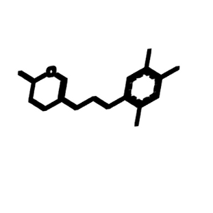 Cc1cc(C)c(CCCC2=COC(C)CC2)cc1C